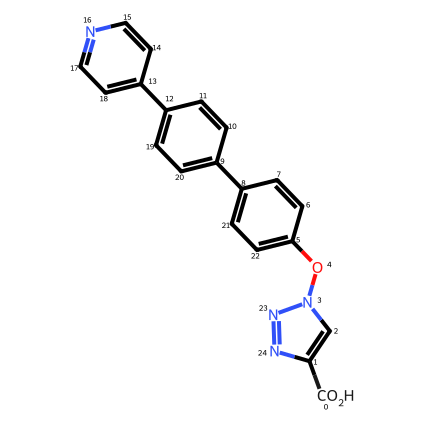 O=C(O)c1cn(Oc2ccc(-c3ccc(-c4ccncc4)cc3)cc2)nn1